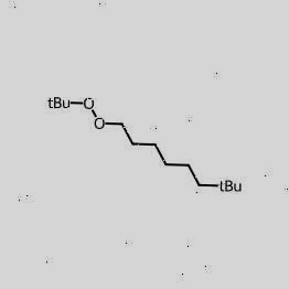 CC(C)(C)CCCCCCOOC(C)(C)C